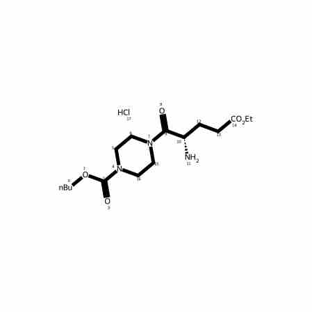 CCCCOC(=O)N1CCN(C(=O)[C@@H](N)CCC(=O)OCC)CC1.Cl